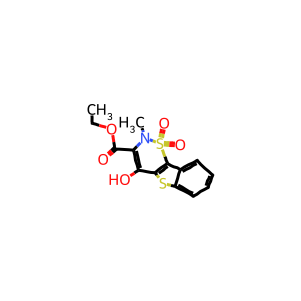 CCOC(=O)C1=C(O)c2sc3ccccc3c2S(=O)(=O)N1C